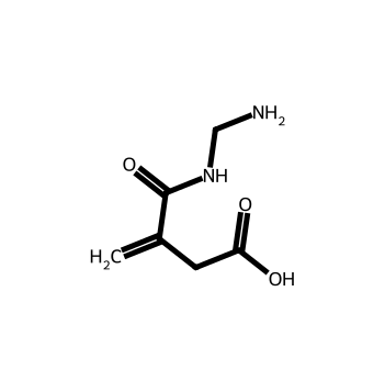 C=C(CC(=O)O)C(=O)NCN